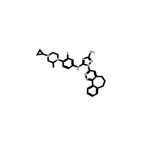 CC1CN(C2CC2)CCN1c1ccc(Nc2nc(N)nn2-c2cc3c(nn2)-c2ccccc2CCC3)cc1F